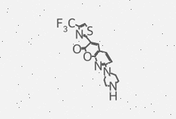 O=c1oc2nc(N3CCNCC3)ccc2cc1-c1nc(C(F)(F)F)cs1